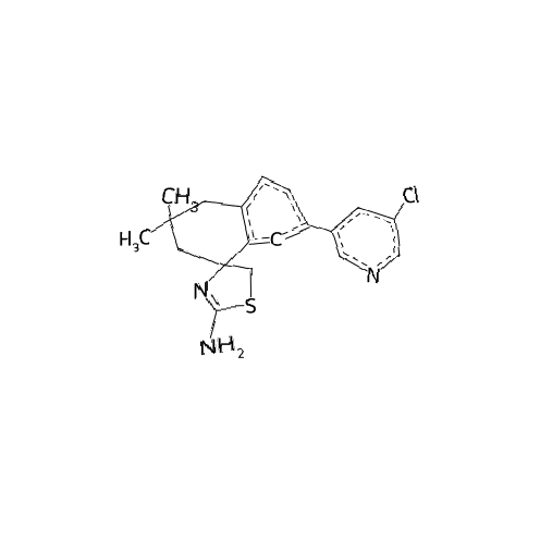 CC1(C)Cc2ccc(-c3cncc(Cl)c3)cc2C2(CSC(N)=N2)C1